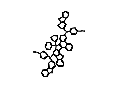 CC(C)(C)c1ccc(N(C2=Cc3c(oc4ccccc34)CC2)c2ccc3c4c(c5ccccc5c3c2)-c2c(cc(N(c3ccc(C(C)(C)C)cc3)c3ccc5oc6ccccc6c5c3)c3c2oc2ccccc23)C4(c2ccccc2)c2ccccc2)cc1